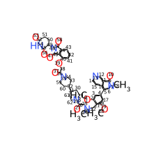 COc1cc(-c2cn(C)c(=O)c3cnccc23)cc(OC)c1CN(C)CC(=O)N1CCC(C2CCN(C(=O)COc3cccc4c3C(=O)N(C3CCC(=O)NC3=O)C4=O)CC2)CC1